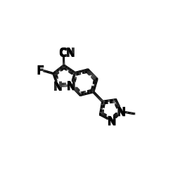 Cn1cc(-c2ccc3c(C#N)c(F)nn3c2)cn1